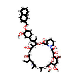 CCC1/C=C(\C)CC(C)CC(OC)C2OC(O)(C(=O)C(=O)N3CCCCC3C(=O)OC(C(C)=CC3CCC(OCc4ccc5ccccc5c4)C(OC)C3)C(C)C(O)CC1=O)C(C)CC2OC